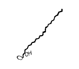 CCCCCCCCCCCCCCCCCCCCCCCC(O)CC=O